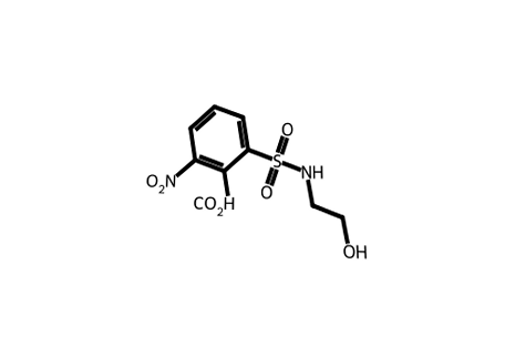 O=C(O)c1c([N+](=O)[O-])cccc1S(=O)(=O)NCCO